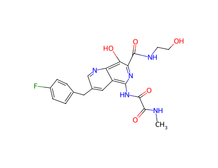 CNC(=O)C(=O)Nc1nc(C(=O)NCCO)c(O)c2ncc(Cc3ccc(F)cc3)cc12